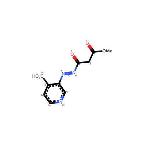 COC(=O)CC(=O)/N=N/c1cnccc1C(=O)O